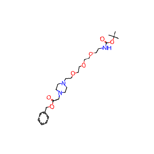 CC(C)(C)OC(=O)NCCOCCOCCOCCN1CCN(CC(=O)OCc2ccccc2)CC1